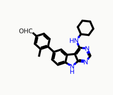 Cc1cc(C=O)ccc1-c1ccc2[nH]c3ncnc(NC4CCCCC4)c3c2c1